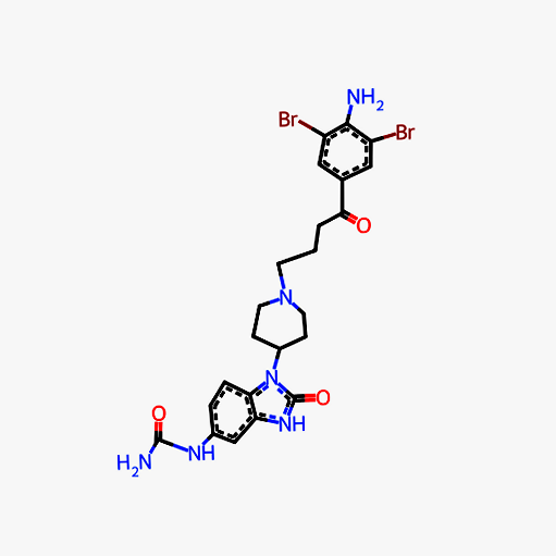 NC(=O)Nc1ccc2c(c1)[nH]c(=O)n2C1CCN(CCCC(=O)c2cc(Br)c(N)c(Br)c2)CC1